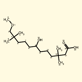 COCC(C)(C)CCCC(O)CCCC(C)(C)CC(=O)O